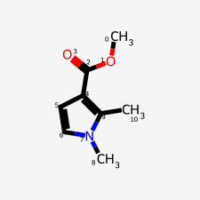 COC(=O)c1ccn(C)c1C